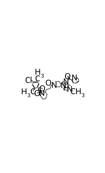 Cc1cc(S(=O)(=O)N2CCCCC2CCC(=O)N2CCC(CNC(=O)c3ccccn3)(N3CCN(C)CC3)CC2)c(C)cc1Cl